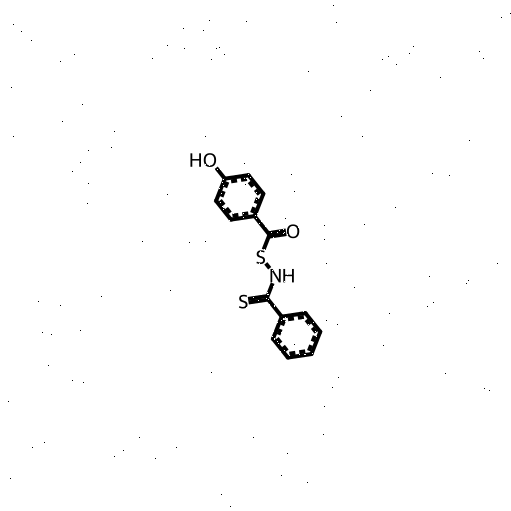 O=C(SNC(=S)c1ccccc1)c1ccc(O)cc1